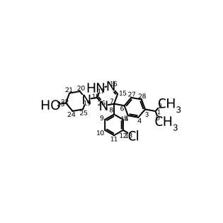 CC(C)c1ccc(C2(c3cccc(Cl)c3)C=NNC(N3CCC(O)CC3)=N2)cc1